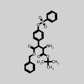 CC(C)(C)OC(=O)C(N)C(C(=O)OCc1ccccc1)c1ccc(OS(=O)(=O)c2ccccc2)cc1